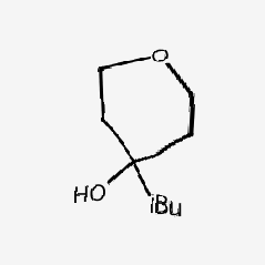 CCC(C)C1(O)CCOCC1